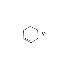 C1=CCCCC1.[V]